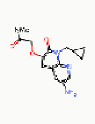 CNC(=O)COc1cc2cc(N)cnc2n(CC2CC2)c1=O